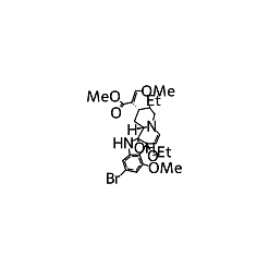 CCO[C@]12C=CN3C[C@@H](CC)[C@@H](/C(=C\OC)C(=O)OC)C[C@H]3[C@@]1(O)Nc1cc(Br)cc(OC)c12